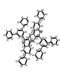 c1ccc(-c2cc(-c3ccccc3)cc(-c3nc4cc(-c5ccccc5)ccc4c4c3C3CC4c4c(-c5cc(-c6ccccc6)cc(-c6ccccc6)c5)nc5cc(-c6ccccc6)ccc5c43)c2)cc1